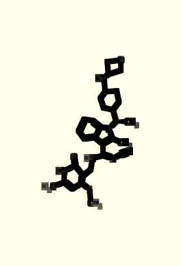 CSc1cc(C)[nH]c(=O)c1CN/C(=N/C#N)c1c(C)n([C@H](C)C2CCC(NC3COC3)CC2)c2ccccc12